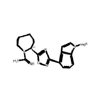 CCCCCCCn1ccc2c(-c3noc([C@@H]4CCCCN4C(=N)N)n3)cccc21